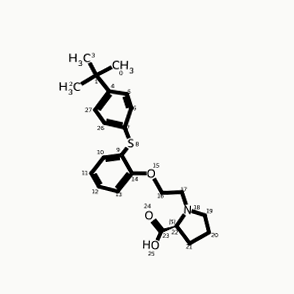 CC(C)(C)c1ccc(Sc2ccccc2OCCN2CCC[C@H]2C(=O)O)cc1